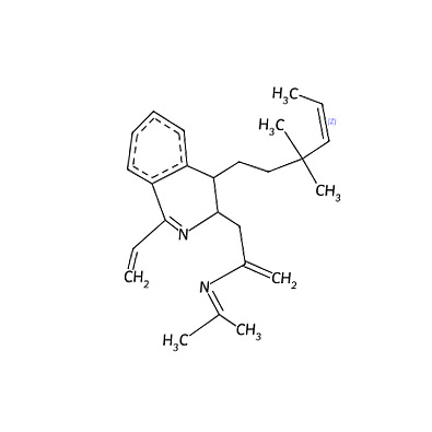 C=CC1=NC(CC(=C)N=C(C)C)C(CCC(C)(C)/C=C\C)c2ccccc21